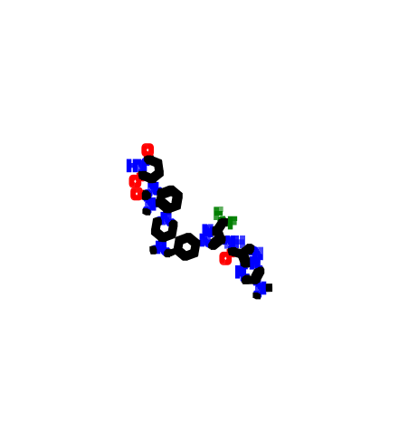 CN(C)c1cnc2c(C(=O)Nc3cn([C@H]4CC[C@H](CN(C)C5CCN(c6cccc7c6n(C)c(=O)n7C6CCC(=O)NC6=O)CC5)CC4)nc3C(F)F)cnn2c1